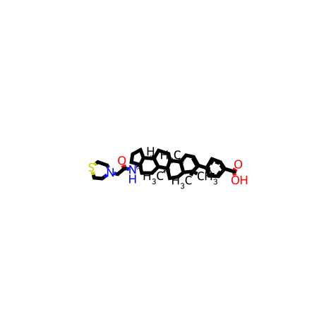 CC1(C)C(c2ccc(C(=O)O)cc2)=CC[C@@]2(C)C1CC[C@@]1(C)C3CC[C@@]4(NC(=O)CN5CCSCC5)CCCC4[C@H]3CCC12